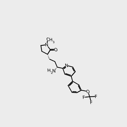 CN1CC[C@@H](CC[C@@H](N)c2cc(-c3cccc(OC(F)(F)F)c3)ccn2)C1=O